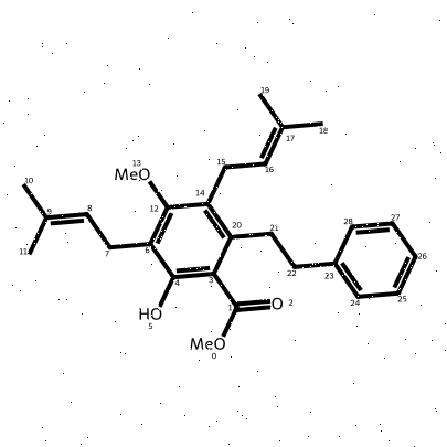 COC(=O)c1c(O)c(CC=C(C)C)c(OC)c(CC=C(C)C)c1CCc1ccccc1